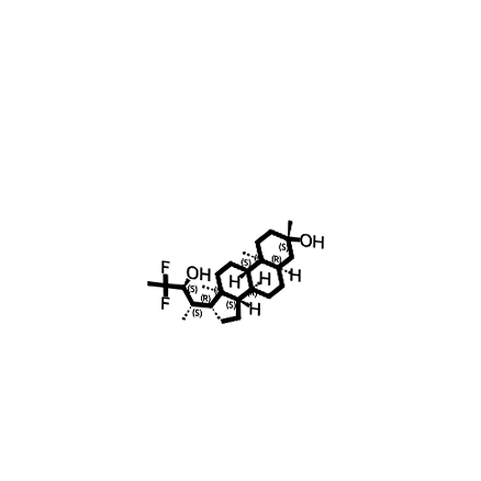 C[C@@H]([C@H]1CC[C@H]2[C@@H]3CC[C@@H]4C[C@@](C)(O)CC[C@]4(C)[C@H]3CC[C@]12C)[C@H](O)C(C)(F)F